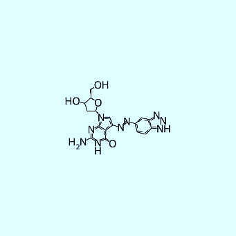 Nc1nc2c(c(/N=N/c3ccc4[nH]nnc4c3)cn2[C@H]2CC(O)[C@@H](CO)O2)c(=O)[nH]1